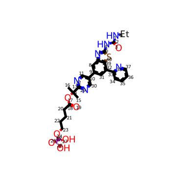 CCNC(=O)Nc1nc2cc(-c3cnc(C(C)(C)OC(=O)CCCCOP(=O)(O)O)nc3)cc(-c3ccccn3)c2s1